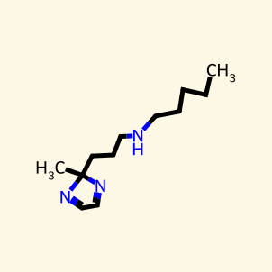 CCCCCNCCCC1(C)N=CC=N1